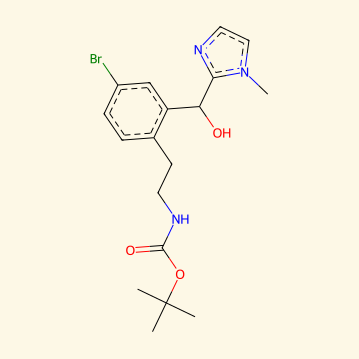 Cn1ccnc1C(O)c1cc(Br)ccc1CCNC(=O)OC(C)(C)C